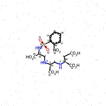 O=C(O)C[C@H](NC[C@H](NC[C@H](NS(=O)(=O)c1ccccc1[N+](=O)[O-])C(=O)O)C(=O)O)C(=O)O